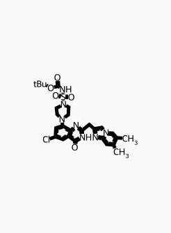 Cc1cc2nc(Cc3nc4c(N5CCN(S(=O)(=O)NC(=O)OC(C)(C)C)CC5)cc(Cl)cc4c(=O)[nH]3)cn2cc1C